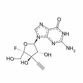 C#C[C@@]1(O)[C@@H](O)[C@H](n2cnc3c(=O)[nH]c(N)nc32)O[C@]1(F)CO